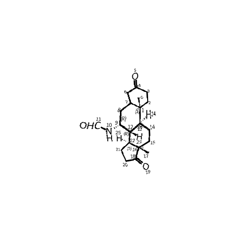 C[C@]12CCC(=O)CC1C[C@@H](NC=O)[C@@H]1[C@@H]2CC[C@]2(C)C(=O)CC[C@@H]12